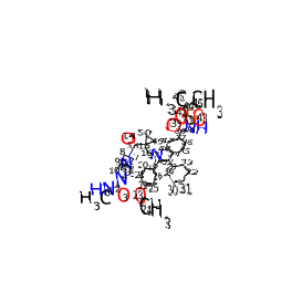 CNC(=O)N1CC23CCC2(C1)CN(C(=O)C1(Cn2c(-c4ccc(OC)cc4)c(C4CCCCC4)c4ccc(C(=O)NS(=O)(=O)C(C)C)cc42)CC1)C3